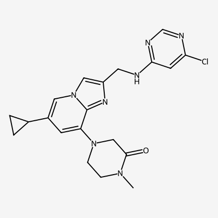 CN1CCN(c2cc(C3CC3)cn3cc(CNc4cc(Cl)ncn4)nc23)CC1=O